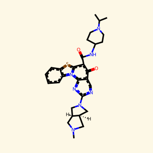 CC(C)N1CCC(NC(=O)c2c(=O)c3cnc(N4C[C@H]5CN(C)C[C@H]5C4)nc3n3c2sc2ccccc23)CC1